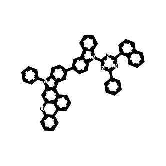 c1ccc(-c2nc(-c3cccc4ccccc34)nc(-n3c4ccccc4c4cc(-c5ccc6c(c5)c5c7cccc8c7c(cc5n6-c5ccccc5)Oc5ccccc5-8)ccc43)n2)cc1